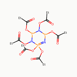 CCC(=O)ON1P(OC(=O)CC)N=P(OC(=O)CC)(OC(=O)CC)N(OC(=O)CC)P1OC(=O)CC